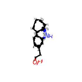 OCCc1ccc2c(c1)[nH]c1ccccc12